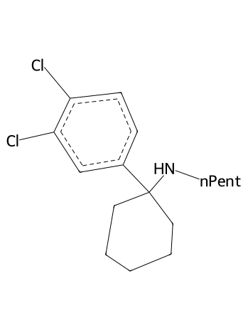 CCCCCNC1(c2ccc(Cl)c(Cl)c2)CCCCC1